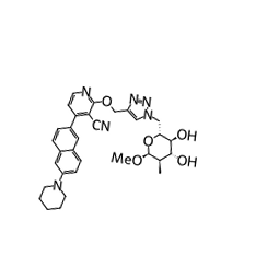 CO[C@H]1O[C@H](Cn2cc(COc3nccc(-c4ccc5cc(N6CCCCC6)ccc5c4)c3C#N)nn2)[C@@H](O)[C@H](O)[C@H]1C